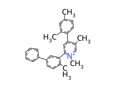 Cc1ccc(-c2cc(-c3cc(-c4ccccc4)ccc3C)[n+](C)cc2C)c(C)c1